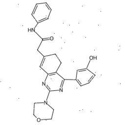 O=C(CC1=Cc2nc(N3CCOCC3)nc(-c3cccc(O)c3)c2CC1)Nc1ccccc1